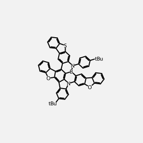 CC(C)(C)c1ccc(N2B3c4cc5c(cc4-n4c6ccc(C(C)(C)C)cc6c6c7oc8ccccc8c7c(c3c64)-c3cc4c(cc32)sc2ccccc24)oc2ccccc25)cc1